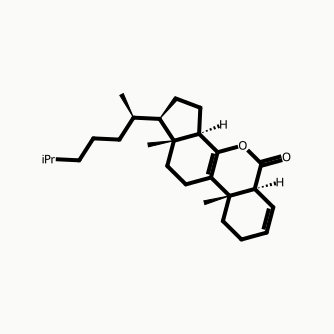 CC(C)CCC[C@@H](C)[C@H]1CC[C@H]2C3=C(CC[C@]12C)[C@@]1(C)CCC=C[C@@H]1C(=O)O3